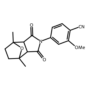 COc1cc(N2C(=O)C3C(C2=O)C2(C)CCC3(C)O2)ccc1C#N